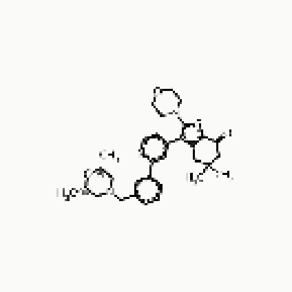 C[C@@H]1CN(Cc2cccc(-c3cc(-c4c(N5CCOCC5)sc5c4CC(C)(C)CC5=O)ccn3)c2)C[C@H](C)O1